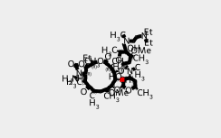 CC[C@H]1OC(=O)[C@H](C)[C@@H](O[C@H]2C[C@@](C)(OC)[C@@](O)(CN(C)CCN(CC)CC)[C@H](C)O2)[C@H](C)[C@@H](O[C@@H]2O[C@H](C)C[C@H](N(C)C)[C@H]2O)[C@@](C)(OC)C[C@@H](C)C(=O)[C@@H](C)[C@H]2N(N)C(=O)O[C@]12C